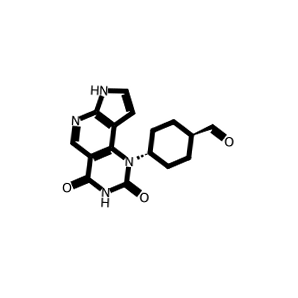 O=C[C@H]1CC[C@H](n2c(=O)[nH]c(=O)c3cnc4[nH]ccc4c32)CC1